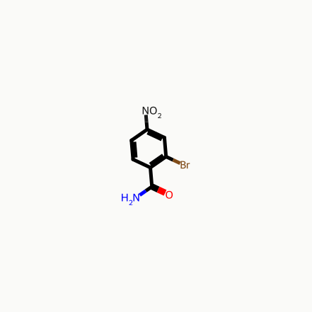 NC(=O)c1ccc([N+](=O)[O-])cc1Br